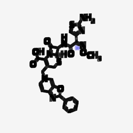 CO/N=C(\C(=O)NC1C(=O)N2C(C(=O)O)=C(CN3C=CC4=NC(c5ccccc5)OC4=C3)CS[C@H]12)c1csc(N)n1